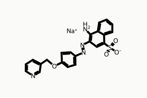 Nc1c(N=Nc2ccc(OCc3cccnc3)cc2)cc(S(=O)(=O)[O-])c2ccccc12.[Na+]